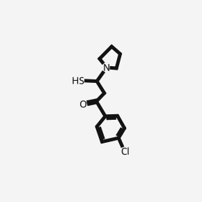 O=C(CC(S)N1CCCC1)c1ccc(Cl)cc1